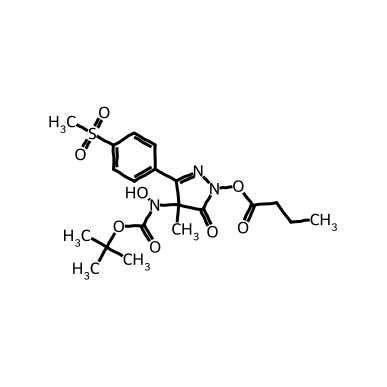 CCCC(=O)ON1N=C(c2ccc(S(C)(=O)=O)cc2)C(C)(N(O)C(=O)OC(C)(C)C)C1=O